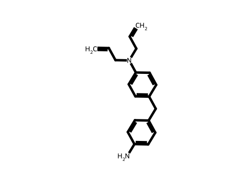 C=CCN(CC=C)c1ccc(Cc2ccc(N)cc2)cc1